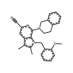 COc1ccccc1Cn1c(C)c(C)c2cc(C#N)nc(N3CCc4ccccc4C3)c21